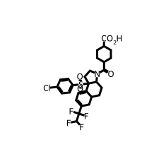 O=C(O)C1CCC(C(=O)N2CCC3(S(=O)(=O)c4ccc(Cl)cc4)C4=CC=C(C(F)(F)C(F)F)CC4CCC23)CC1